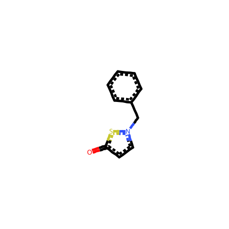 O=c1ccn(Cc2ccccc2)s1